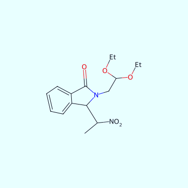 CCOC(CN1C(=O)c2ccccc2C1C(C)[N+](=O)[O-])OCC